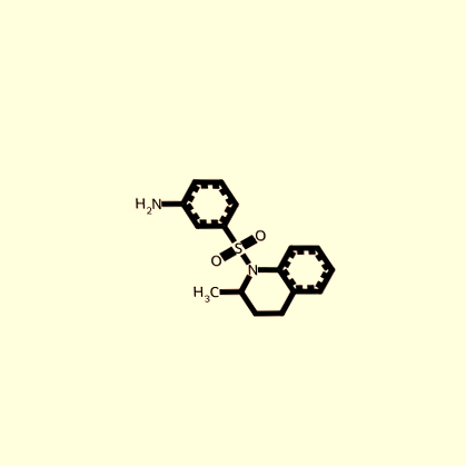 CC1CCc2ccccc2N1S(=O)(=O)c1cccc(N)c1